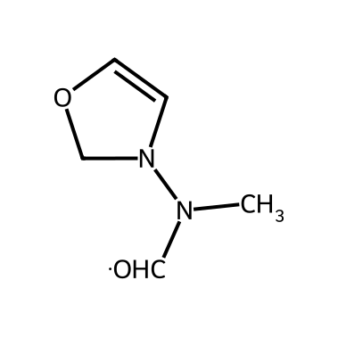 CN([C]=O)N1C=COC1